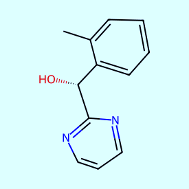 Cc1ccccc1[C@@H](O)c1ncccn1